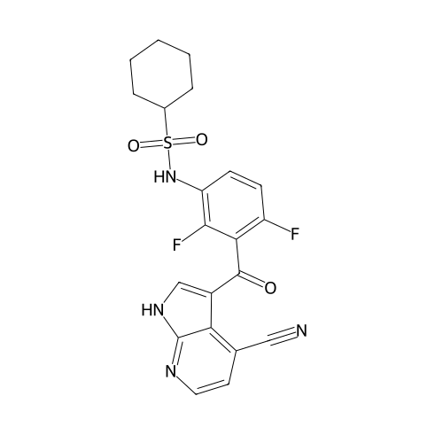 N#Cc1ccnc2[nH]cc(C(=O)c3c(F)ccc(NS(=O)(=O)C4CCCCC4)c3F)c12